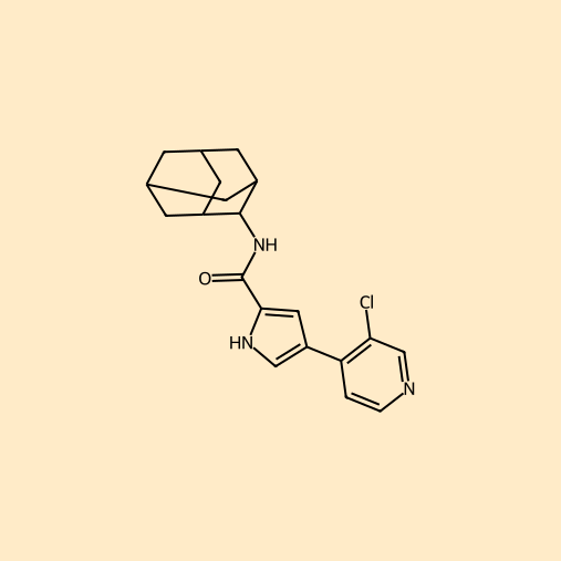 O=C(NC1C2CC3CC(C2)CC1C3)c1cc(-c2ccncc2Cl)c[nH]1